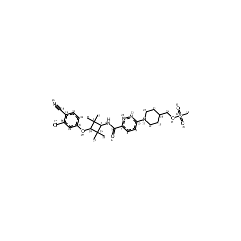 CC1(C)C(NC(=O)c2ccc(N3CCC(COS(C)(=O)=O)CC3)nn2)C(C)(C)C1Oc1ccc(C#N)c(Cl)c1